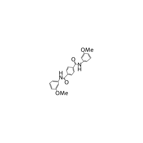 COc1cccc(NC(=O)c2ccc(C(=O)Nc3cccc(OC)c3)cc2)c1